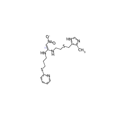 Cc1nc[nH]c1CSCCN/C(=C\[N+](=O)[O-])NCCCSc1ccccn1